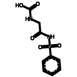 O=C(O)NCC(=O)NS(=O)(=O)c1ccccc1